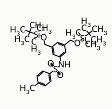 Cc1ccc(S(=O)(=O)Nc2cc(CO[Si](C)(C)C(C)(C)C)cc(CO[Si](C)(C)C(C)(C)C)c2)cc1